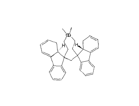 COCCC1(CC2(CCOC)c3ccccc3C3=CC=CC[C@H]32)c2ccccc2C2=CC=CC[C@H]21